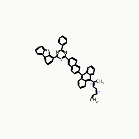 C=C/C=C\C=C(/C)c1c2ccccc2c(-c2ccc3cc(-c4nc(-c5ccccc5)nc(-c5cccc6c5sc5ccccc56)n4)ccc3c2)c2ccccc12